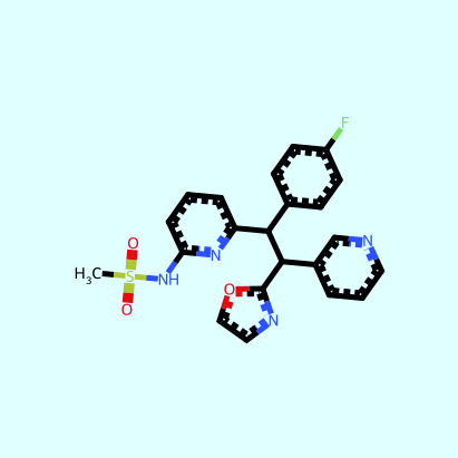 CS(=O)(=O)Nc1cccc(C(c2ccc(F)cc2)C(c2cccnc2)c2ncco2)n1